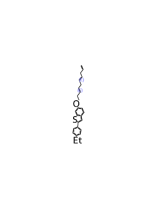 C=CC/C=C/C/C=C/CCOc1ccc2cc(-c3ccc(CC)cc3)sc2c1